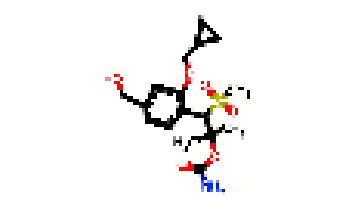 CC(C)(OC(N)=O)C(c1ccc(CO)cc1OCC1CC1)S(C)(=O)=O